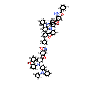 C1=C(N(c2ccc3c4ccccc4n(-c4ccccc4)c3c2)c2cccc3oc4ccccc4c23)CCc2c1oc1cc3nc(-c4ccc(-c5cccc6c5oc5cccc(N(c7ccc8c(c7)oc7cc9c(cc78)NC(c7ccccc7)O9)c7cccc8c9ccccc9n(-c9ccccc9)c78)c56)cc4)oc3cc21